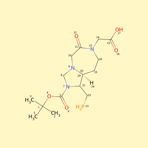 CC(C)(C)OC(=O)N1CN2CC(=O)N(CC(=O)O)CC[C@H]2C1CP